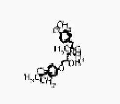 COc1ccc(CC(C)(C)NCC(O)COc2ccc(C(C)(C)C)cc2)cc1